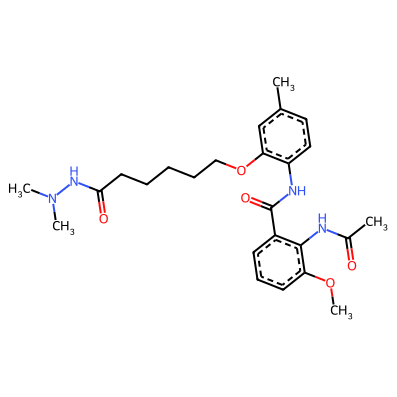 COc1cccc(C(=O)Nc2ccc(C)cc2OCCCCCC(=O)NN(C)C)c1NC(C)=O